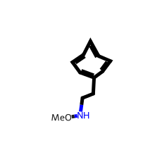 CONCCC1=C/C=C/C=C/C=C\1